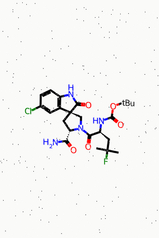 CC(C)(F)C[C@H](NC(=O)OC(C)(C)C)C(=O)N1C[C@]2(C[C@H]1C(N)=O)C(=O)Nc1ccc(Cl)cc12